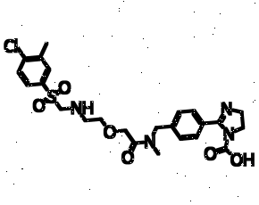 Cc1cc(S(=O)(=O)CNCCOCC(=O)N(C)Cc2ccc(C3=NCCN3C(=O)O)cc2)ccc1Cl